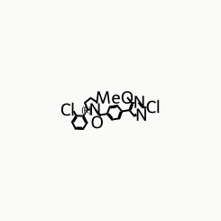 COc1nc(Cl)ncc1-c1ccc(C(=O)N2CCC[C@@H]2c2ccccc2Cl)cc1